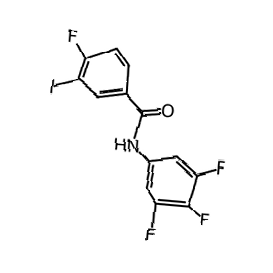 O=C(Nc1cc(F)c(F)c(F)c1)c1ccc(F)c(I)c1